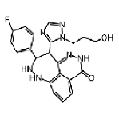 O=c1[nH]nc2c3c(cccc13)NNC(c1ccc(F)cc1)C2c1ncnn1CCCO